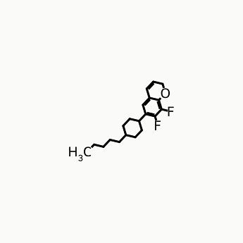 CCCCCC1CCC(c2cc3c(c(F)c2F)OCC=C3)CC1